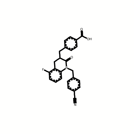 N#Cc1ccc(CN2C(=O)C(Cc3ccc(C(=O)O)cc3)Cc3c(F)cccc32)cc1